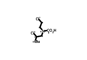 CC(C)(C)C(Cl)CN(CCCl)C(=O)O